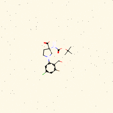 CC(C)(C)OC(=O)N[C@]1(C(=O)O)CCN(c2cc(Cl)cc(Br)c2CO)C1